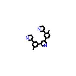 Cc1cc(-c2cccnc2)cc(-c2cncc(-c3ccc(C)c(-c4cccnc4)c3)c2)c1